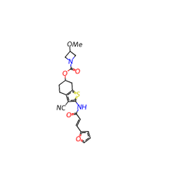 COC1CN(C(=O)OC2CCc3c(sc(NC(=O)C=Cc4ccco4)c3C#N)C2)C1